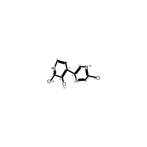 Clc1cnc(-c2ccnc(Cl)c2Cl)cn1